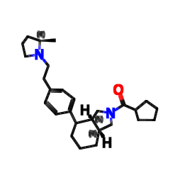 C[C@@H]1CCCN1CCc1ccc(C2CCC[C@H]3CN(C(=O)C4CCCC4)C[C@@H]23)cc1